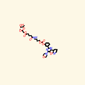 COC(COC(=O)CCCC(=O)NCCCCOC(=O)Oc1cccc(-c2nc(N3CCOCC3)c3oc4ncccc4c3n2)c1)OC(C)CO